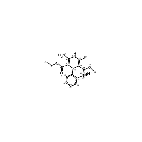 CCOC(=O)C1=C(N)NC(C)=C(C(=O)OC)C1c1ccccc1C#N